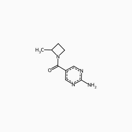 CC1CCN1C(=O)c1cnc(N)nc1